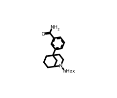 CCCCCCN1CCC2(c3cccc(C(N)=O)c3)CCCC1C2